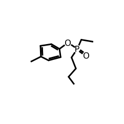 CCCCP(=O)(CC)Oc1ccc(C)cc1